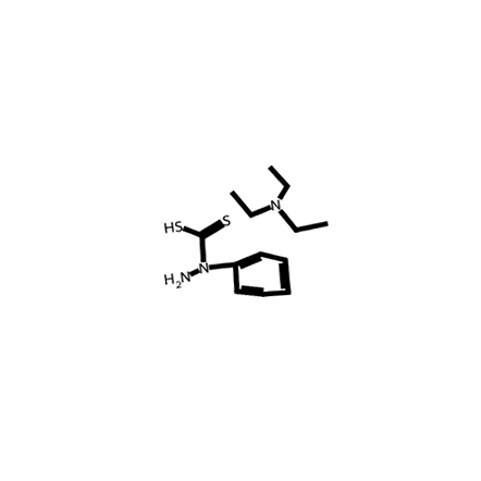 CCN(CC)CC.NN(C(=S)S)c1ccccc1